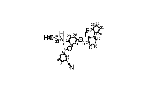 N#Cc1cccc(COc2cc(OCc3cccc(-c4ccccc4F)c3F)ccc2CNCCO)c1